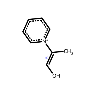 C/C(=C\O)[n+]1ccccc1